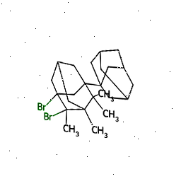 CC1(C)C2(C)CC3CC(Br)(CC1(C14CC5CC(CC(C5)C1)C4)C3)C2(C)Br